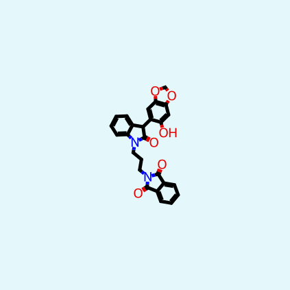 O=C1c2ccccc2C(=O)N1CCCN1C(=O)C(c2cc3c(cc2O)OCO3)c2ccccc21